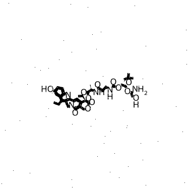 CCc1c2c(nc3ccc(O)cc13)-c1cc3c(c(=O)n1C2)COC(=O)[C@@]3(CC)OC(=O)[C@H](C)NC(=O)CCNC(=O)OCC(OC(N)CO)OC(C)(C)C